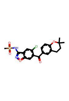 CC1(C)CCc2cc(C(=O)c3cc4onc(NS(C)(=O)=O)c4cc3Cl)ccc2O1